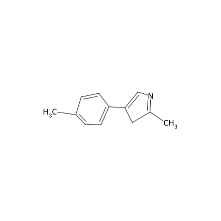 CC1=NC=C(c2ccc(C)cc2)C1